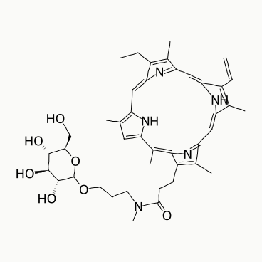 C=Cc1c(C)c2cc3nc(c(C)c4cc(C)c(cc5nc(cc1[nH]2)C(C)=C5CC)[nH]4)C(CCC(=O)N(C)CCCOC1O[C@H](CO)[C@@H](O)[C@H](O)[C@H]1O)=C3C